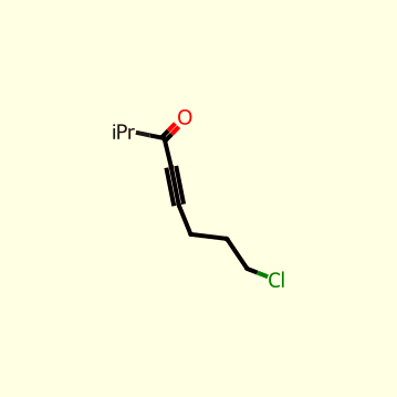 CC(C)C(=O)C#CCCCCl